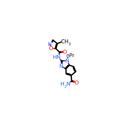 CCCn1c(NC(=O)c2oncc2C)nc2cc(C(N)=O)ccc21